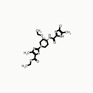 CCOC(=O)c1sc(N2CC[C@@H](NC(=O)c3nc(Cl)c(C)[nH]3)[C@@H](OCC)C2)nc1C